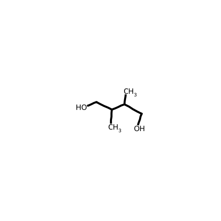 CC(CO)C(C)CO